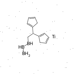 BBBCC(C1=CC=CC1)C1=CC=CC1.[Ti]